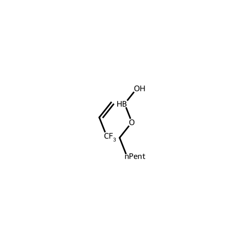 C=CC(F)(F)F.CCCCCCOBO